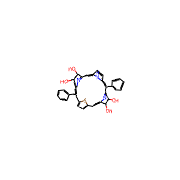 OC1c2cc3ccc(s3)c(-c3ccccc3)c3nc(cc4ccc([nH]4)c(-c4ccccc4)c(n2)C1O)C(O)C3O